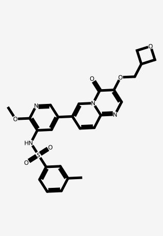 COc1ncc(-c2ccc3ncc(OCC4COC4)c(=O)n3c2)cc1NS(=O)(=O)c1cccc(C)c1